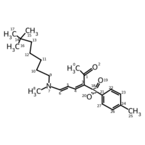 CC(=O)/C(=C\C=C\N(C)CCCCCC(C)(C)C)S(=O)(=O)c1ccc(C)cc1